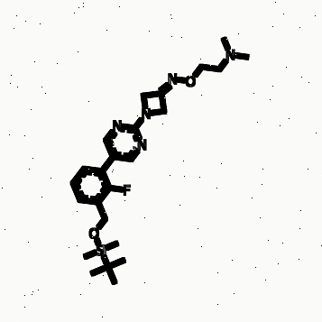 CN(C)CCON=C1CN(c2ncc(-c3cccc(CO[Si](C)(C)C(C)(C)C)c3F)cn2)C1